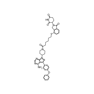 Nc1ncnc2c1c(-c1ccc(Oc3ccccc3)cc1)nn2C1CCN(C(=O)CCCCCSc2cccc3c2CN(C2CCC(=O)NC2=O)C3=O)CC1